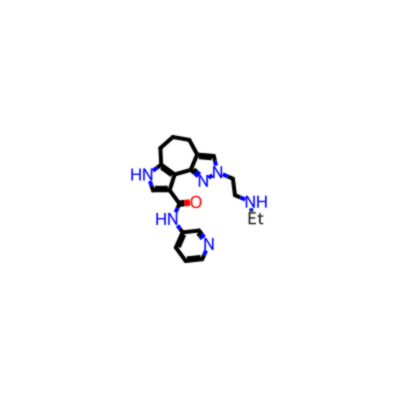 CCNCCn1cc2c(n1)-c1c(C(=O)Nc3cccnc3)c[nH]c1CCC2